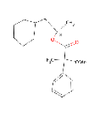 COC(C(=O)O[C@@H](C)CC1CCCCC1)(c1ccccc1)C(F)(F)F